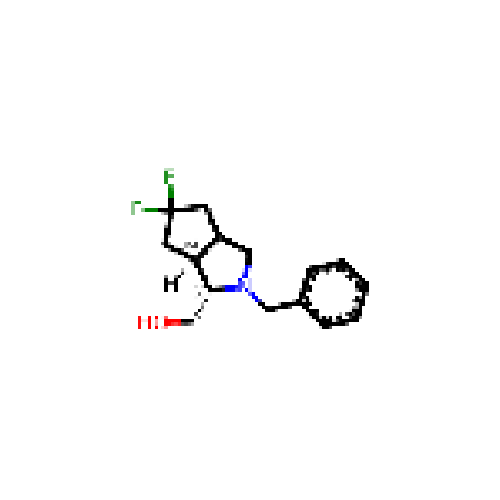 OC[C@@H]1[C@H]2CC(F)(F)CC2CN1Cc1ccccc1